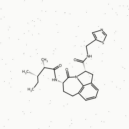 CC[C@H](C)[C@H](C)C(=O)N[C@H]1CCc2cccc3c2N(C1=O)[C@H](C(=O)NCc1cncs1)C3